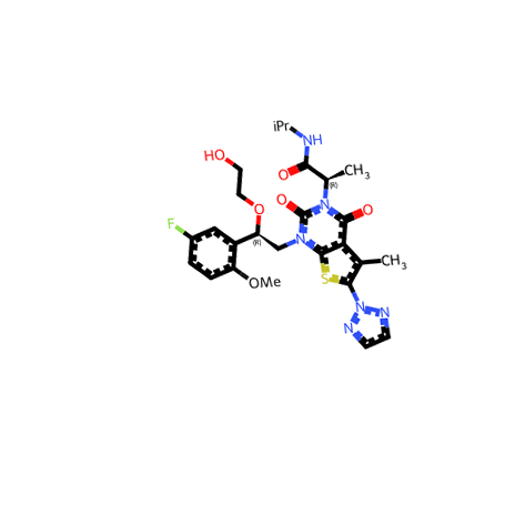 COc1ccc(F)cc1[C@H](Cn1c(=O)n([C@H](C)C(=O)NC(C)C)c(=O)c2c(C)c(-n3nccn3)sc21)OCCO